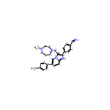 Cc1ccc(-c2ccc3nc(-c4ccc(C#N)cc4)c(CN4CCCN(C)CC4)n3c2)cc1